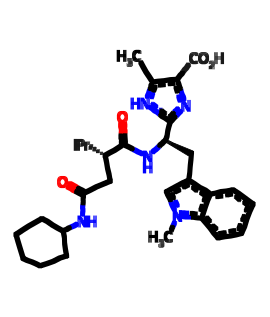 Cc1[nH]c([C@@H](Cc2cn(C)c3ccccc23)NC(=O)[C@H](CC(=O)NC2CCCCC2)C(C)C)nc1C(=O)O